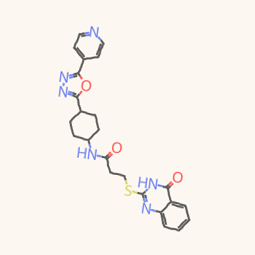 O=C(CCSc1nc2ccccc2c(=O)[nH]1)NC1CCC(c2nnc(-c3ccncc3)o2)CC1